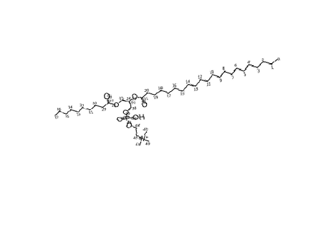 CCCCCCCCCCCCCCCCCCCCCC(=O)O[C@H](COC(=O)CCCCCCCCC)COP(=O)(O)OCC[N+](C)(C)C